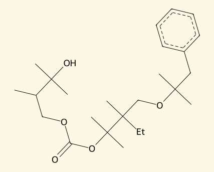 CCC(C)(COC(C)(C)Cc1ccccc1)C(C)(C)OC(=O)OCC(C)C(C)(C)O